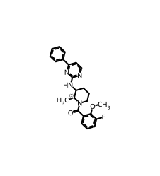 COc1c(F)cccc1C(=O)N1CCCC(Nc2nccc(-c3ccccc3)n2)[C@@H]1C